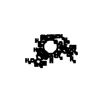 CC[C@H]1OC(=O)[C@H](C)C(OC2CC(C)(OC)C(O)C(C)O2)[C@H](C)C(O)[C@](/C=C\C2OC(C)CC(N(C)C)C2O)(OC)C[C@@H](C)C(=O)[C@H](C)[C@@H](O)[C@]1(C)O